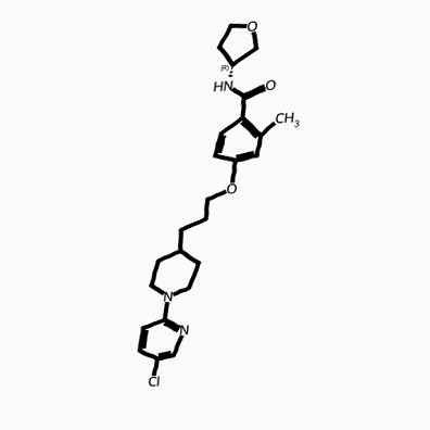 Cc1cc(OCCCC2CCN(c3ccc(Cl)cn3)CC2)ccc1C(=O)N[C@@H]1CCOC1